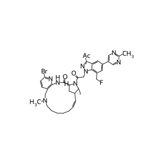 CC(=O)c1nn(CC(=O)N2C3C[C@@]34C=CCCCCCN(C)Cc3ccc(Br)nc3NC(=O)[C@@H]2C4)c2c(CF)cc(-c3cnc(C)nc3)cc12